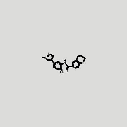 Cn1cc(-c2ccc(N)c(NC(=O)c3cc4c(cn3)OCCC4)c2)cn1